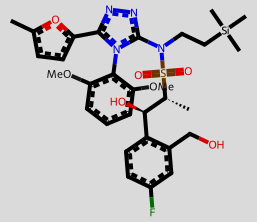 COc1cccc(OC)c1-n1c(-c2ccc(C)o2)nnc1N(CC[Si](C)(C)C)S(=O)(=O)[C@H](C)[C@H](O)c1ccc(F)cc1CO